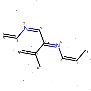 C=C\N=C/C(=N/C=C\C)C(=C)C